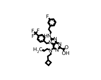 C=CCN(CCC1CCC1)c1nc(C(=O)O)nc2nc(NCCc3cccc(F)c3)n(Cc3ccc(C(F)(F)F)cc3)c12